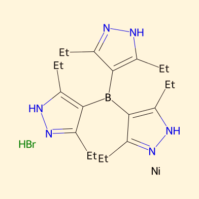 Br.CCc1n[nH]c(CC)c1B(c1c(CC)n[nH]c1CC)c1c(CC)n[nH]c1CC.[Ni]